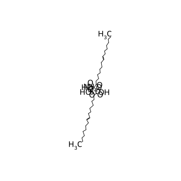 CCCCCCCCC=CCCCCCCCC(=O)C(C(=O)O)C(C(=O)O)(C(=O)CCCCCCCC=CCCCCCCCC)S(=O)(=O)O.N